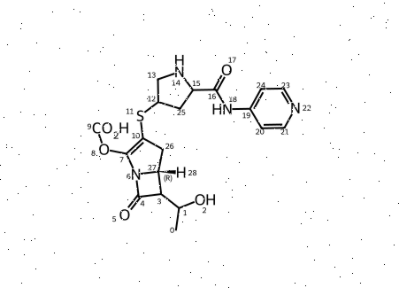 CC(O)C1C(=O)N2C(OC(=O)O)=C(SC3CNC(C(=O)Nc4ccncc4)C3)C[C@H]12